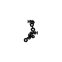 O=C(Nc1ccc(-c2ccc3[nH]ccc3c2)cc1)[C@@H]1CCCN1C(=O)OCc1ccccc1